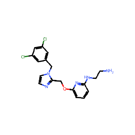 NCCNc1cccc(OCc2nccn2Cc2cc(Cl)cc(Cl)c2)n1